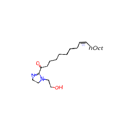 CCCCCCCC/C=C\CCCCCCCC(=O)C1=NCCN1CCO